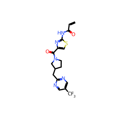 C=CC(=O)Nc1nc(C(=O)N2CCC(Cc3ncc(C(F)(F)F)cn3)C2)cs1